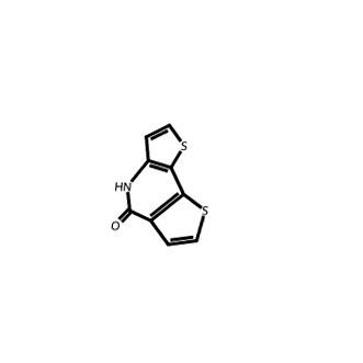 O=c1[nH]c2ccsc2c2sccc12